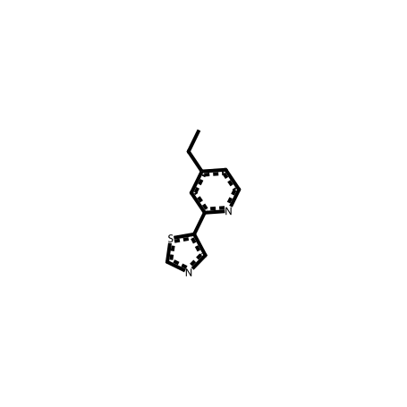 CCc1ccnc(-c2cncs2)c1